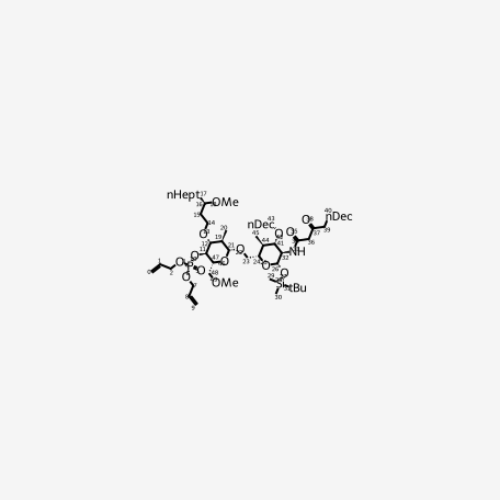 C=CCOP(=O)(OCC=C)O[C@H]1[C@H](OCC[C@@H](CCCCCCC)OC)[C@@H](C)[C@H](OC[C@H]2O[C@@H](O[Si](C)(C)C(C)(C)C)[C@H](NC(=O)CC(=O)CCCCCCCCCCC)[C@@H](OCCCCCCCCCC)[C@@H]2C)O[C@@H]1COC